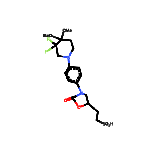 COC1(OC)CCN(c2ccc(N3CC(CCS(=O)(=O)O)OC3=O)cc2)CC1(F)F